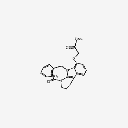 COC(=O)COc1cccc2c3c(n(Cc4ccccc4)c12)N(C(N)=O)CCC3